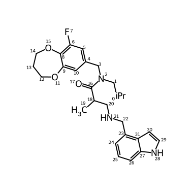 CC(C)CN(Cc1cc(F)c2c(c1)OCCCO2)C(=O)C(C)CNCc1cccc2[nH]ccc12